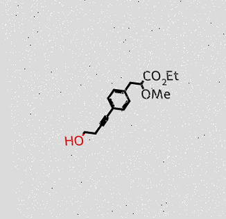 CCOC(=O)C(Cc1ccc(C#CCCO)cc1)OC